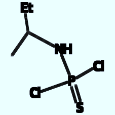 CCC(C)NP(=S)(Cl)Cl